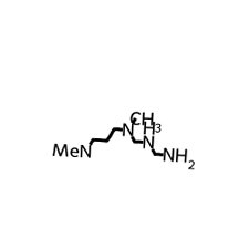 CNCCCN(C)CNCN